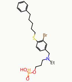 CCN(CCCO[PH](=O)O)Cc1ccc(SCCCCCc2ccccc2)c(Br)c1